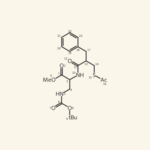 COC(=O)C(CNC(=O)OC(C)(C)C)NC(=O)C(CSC(C)=O)Cc1ccccc1